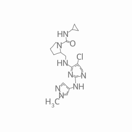 Cn1cc(Nc2ncc(Cl)c(NCC3CCCN3C(=O)NC3CC3)n2)cn1